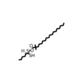 CCCCCCCCCCCCCCCCC(C)(C)C(=O)O[SiH2]C(S)CCCCC